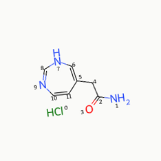 Cl.NC(=O)CC1=CNC=NC=C1